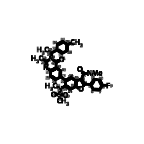 CNC(=O)c1c(-c2ccc(F)cc2)oc2cc(N(C)S(C)(=O)=O)c(-c3ccc4nc(C)n([C@H](C)c5ccc(C)cc5)c(=O)c4c3)cc12